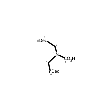 CCCCCCCCCCCN(CCCCCCCCCCC)C(=O)O